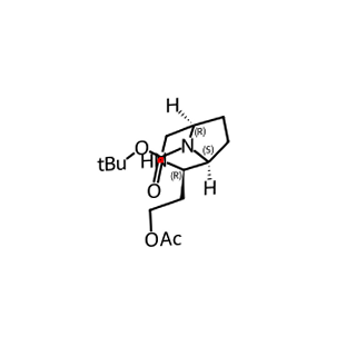 CC(=O)OCC[C@H]1NC[C@H]2CC[C@@H]1N2C(=O)OC(C)(C)C